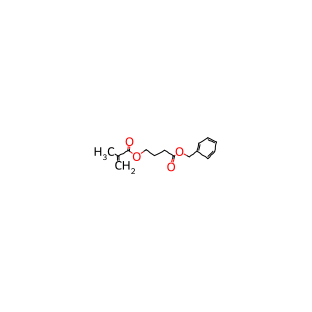 C=C(C)C(=O)OCCCC(=O)OCc1ccccc1